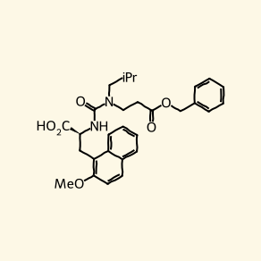 COc1ccc2ccccc2c1C[C@H](NC(=O)N(CCC(=O)OCc1ccccc1)CC(C)C)C(=O)O